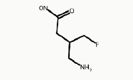 NCC(CF)CC(=O)N=O